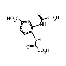 O=C(O)C(=O)Nc1ccc(C(=O)O)cc1NC(=O)C(=O)O